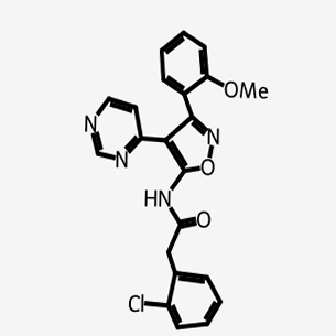 COc1ccccc1-c1noc(NC(=O)Cc2ccccc2Cl)c1-c1ccncn1